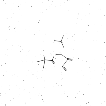 CC(C)C[C@@H](NC(=O)C(C)(C)C)C(=O)C=S